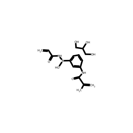 C=CC(=O)NB(O)c1cccc(NC(=O)C(=C)C)c1.OCC(O)CO